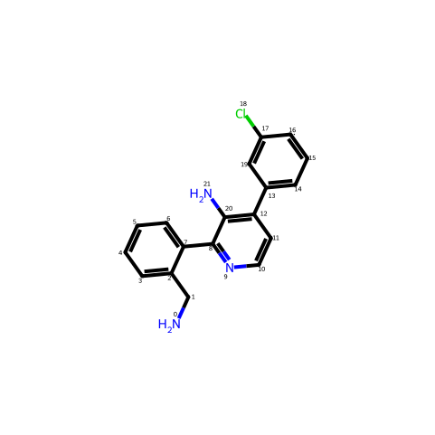 NCc1ccccc1-c1nccc(-c2cc[c]c(Cl)c2)c1N